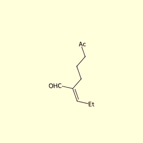 CCC=C(C=O)CCCC(C)=O